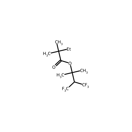 CCC(C)(C)C(=O)OC(C)(C)C(C(F)(F)F)C(F)(F)F